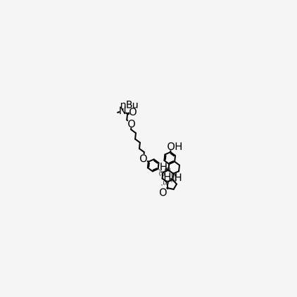 CCCCN(C)C(=O)COCCCCCCOc1ccc([C@H]2C[C@]3(C)C(=O)CC[C@H]3[C@@H]3CCc4cc(O)ccc4[C@H]32)cc1